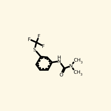 CN(C)C(=O)Nc1cccc(SC(F)(F)F)c1